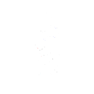 CCOCc1ncnc2c1ccn2[C@@H]1O[C@H]([C@@H]2OCc3cc(F)c(F)cc32)[C@@H](O)[C@H]1O